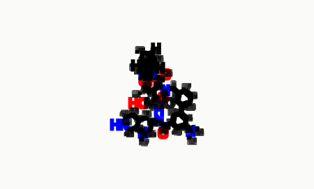 COc1c(CN2O[C@@H](CO)[C@H]([C@H](C)O)[C@H]2C(=O)N[C@H]2C[C@H]3C[C@@H]([C@@H]2C)C3(C)C)cccc1-c1cc(C(=O)N[C@@H](CC2CCNCC2)CN(C)C)cc(N(C)C)c1